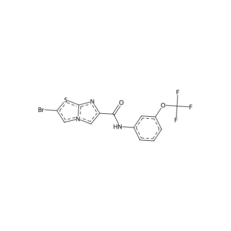 O=C(Nc1cccc(OC(F)(F)F)c1)c1cn2cc(Br)sc2n1